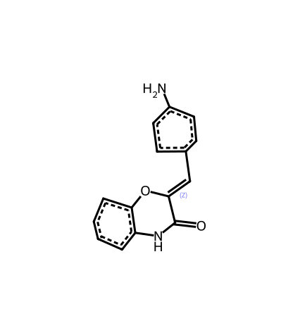 Nc1ccc(/C=C2\Oc3ccccc3NC2=O)cc1